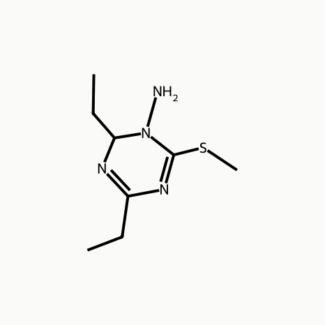 CCC1=NC(CC)N(N)C(SC)=N1